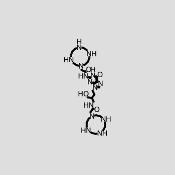 O=C(CN1CCCNCCNCCCNCC1)NCC(CO)CCn1cnc2c(=O)[nH]c(NC(=O)CN3CCCNCCNCCCNCC3)nc21